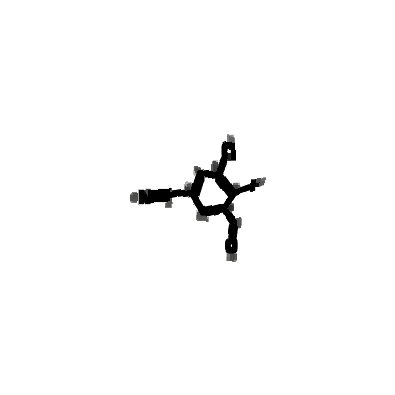 N#Cc1cc(Cl)c(F)c(C=O)c1